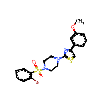 COc1cccc(-c2csc(N3CCN(S(=O)(=O)c4ccccc4Br)CC3)n2)c1